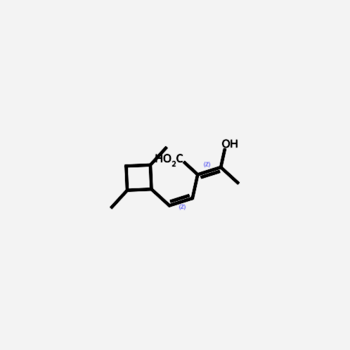 C/C(O)=C(\C=C/C1C(C)CC1C)C(=O)O